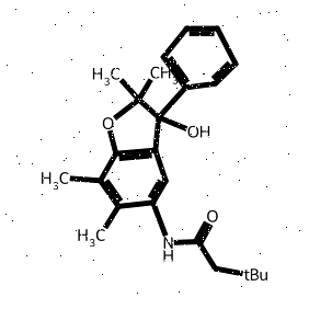 Cc1c(NC(=O)CC(C)(C)C)cc2c(c1C)OC(C)(C)C2(O)c1ccccc1